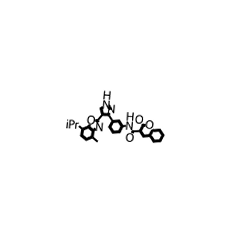 Cc1ccc(C(C)C)c2oc(-c3c[nH]nc3-c3cccc(NC(=O)c4cc5ccccc5oc4=O)c3)nc12